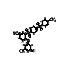 Cc1ccc(S(=O)(=O)N2CCN(S(=O)(=O)c3cc(C#N)ccc3Oc3cc(Cl)cc(Cl)c3)CC2)cc1